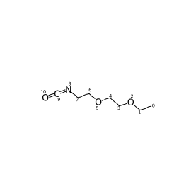 CCOCCOCCN=C=O